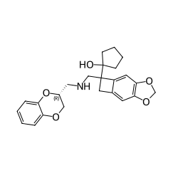 OC1(C2(CNC[C@@H]3COc4ccccc4O3)Cc3cc4c(cc32)OCO4)CCCC1